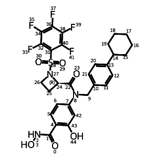 O=C(NO)c1ccc(N(Cc2ccc(C3CCCCC3)cc2)C(=O)[C@H]2CCN2S(=O)(=O)c2c(F)c(F)c(F)c(F)c2F)cc1O